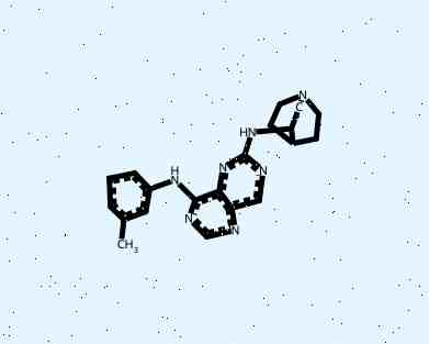 Cc1cccc(Nc2ncnc3cnc(NC4CN5CCC4CC5)nc23)c1